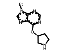 CCn1cnc2c(O[C@H]3CCNC3)ncnc21